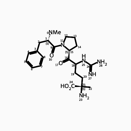 CN[C@@H](Cc1ccccc1)C(=O)N1CCC[C@H]1C(=O)C(CC[C@](C)(N)C(=O)O)NC(=N)N